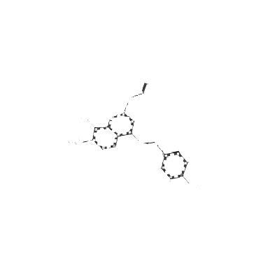 C=COc1cc(OCc2ccc(OC)cc2)c2ccc(OC)c(C)c2n1